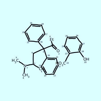 CCC(=O)C(CC(C)N(C)C)(c1ccccc1)c1ccccc1.O=C(O)c1ccccc1O